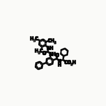 Cc1cc(C)c(NC(=O)Nc2cc(-c3ccccc3)ccc2C(=O)N[C@H](C(=O)O)C2CCCCC2)c(C)c1